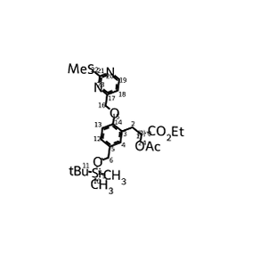 CCOC(=O)[C@@H](Cc1cc(CO[Si](C)(C)C(C)(C)C)ccc1OCc1ccnc(SC)n1)OC(C)=O